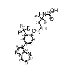 C[C@H](COc1ccc(-c2cnn3cccnc23)cc1C(F)(F)F)CC(C)(C)NC(=O)O